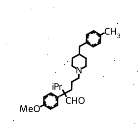 COc1ccc(C(C=O)(CCCN2CCC(Cc3ccc(C)cc3)CC2)C(C)C)cc1